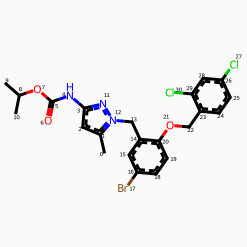 Cc1cc(NC(=O)OC(C)C)nn1Cc1cc(Br)ccc1OCc1ccc(Cl)cc1Cl